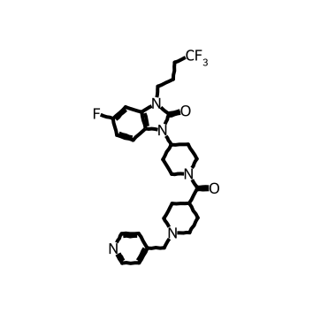 O=C(C1CCN(Cc2ccncc2)CC1)N1CCC(n2c(=O)n(CCCC(F)(F)F)c3cc(F)ccc32)CC1